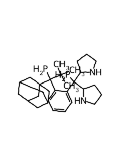 CC(C)(C)C(P)(c1ccccc1C(P)(C1CCCN1)C1CCCN1)C12CC3CC(CC(C3)C1)C2